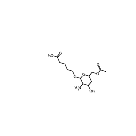 CC(=O)OCC1CC(O)C(N)C(OCCCCC(=O)O)O1